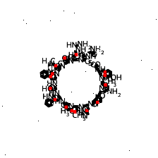 CCCC[C@H]1C(=O)N(C)[C@@H](CO)C(=O)N[C@@H](CCCNC(=N)N)C(=O)NC(C(=O)NCC(N)=O)CSCC(=O)N[C@@H](Cc2ccc(O)cc2)C(=O)N(C)[C@@H](C)C(=O)N[C@@H](CC(N)=O)C(=O)N2CCC[C@H]2C(=O)N[C@@H](Cc2cnc[nH]2)C(=O)N[C@@H](CC(C)C)C(=O)N2CCC[C@H]2C(=O)N[C@@H](Cc2c[nH]c3ccccc23)C(=O)N[C@@H](CO)C(=O)N[C@@H](Cc2c[nH]c3ccccc23)C(=O)N1C